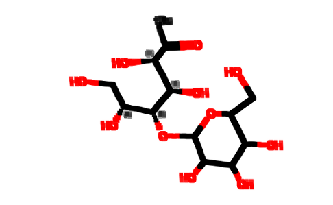 CC(C)(C)C(=O)[C@H](O)[C@@H](O)[C@H](OC1OC(CO)C(O)C(O)C1O)[C@H](O)CO